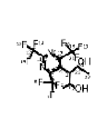 CC(O)C(c1c(C(F)(F)F)nc(C(F)(F)F)nc1C(F)(F)F)C(C)O